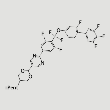 CCCCCC1COC(c2cnc(-c3cc(F)c(C(F)(F)Oc4ccc(-c5cc(F)c(F)c(F)c5)c(F)c4)c(F)c3)nc2)OC1